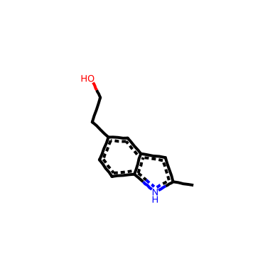 Cc1cc2cc(CCO)ccc2[nH]1